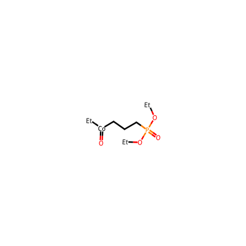 CCOP(=O)(CC[CH2][Co](=[O])[CH2]C)OCC